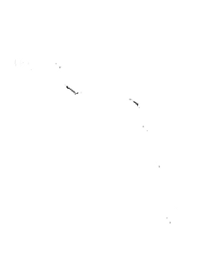 CN(C[C@H]1CC[C@@H](C(=O)N2CCN(c3ccncc3)CC2)CC1)C(=O)O